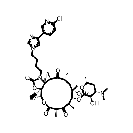 C#C[C@]12OC(=O)N(CCCCn3cnc(-c4ccc(Cl)nc4)c3)[C@@H]1[C@@H](C)C(=O)[C@H](C)C[C@](C)(OC)[C@H](OC1O[C@H](C)C[C@H](N(C)C)[C@H]1O)[C@@H](C)C(=O)[C@@H](C)C(=O)O[C@@H]2CC